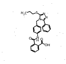 CCCSc1nnc(-c2ccccc2)n1Cc1ccc(NC(=O)c2ccccc2C(=O)O)cc1